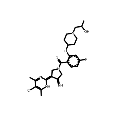 CC1=N/C(=C2\CN(C(=O)c3ccc(F)cc3OC3CCN(CC(C)O)CC3)CC2=N)NC(C)=C1Cl